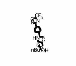 CCCCP(=O)(O)CC1CNC(c2ccc(-c3noc(C(F)(F)F)n3)cc2)CO1